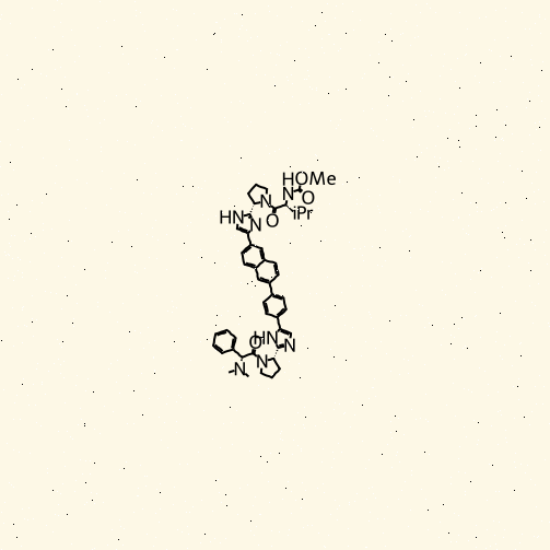 COC(=O)N[C@H](C(=O)N1CCC[C@H]1c1nc(-c2ccc3cc(-c4ccc(-c5cnc([C@@H]6CCCN6C(=O)[C@@H](c6ccccc6)N(C)C)[nH]5)cc4)ccc3c2)c[nH]1)C(C)C